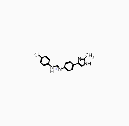 Cc1nc(-c2ccc(/N=C/Nc3ccc(Cl)cc3)cc2)c[nH]1